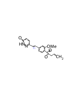 C=CCS(=O)(=O)c1ccc(/C=C/c2ccc(=O)[nH]n2)cc1OC